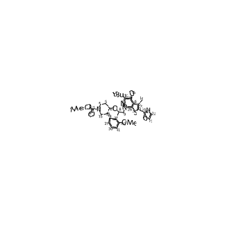 COC(=O)N1CCC(OC(Cn2nc(C(C)(C)C)c(=O)c3c(C)c(-c4ncco4)sc32)c2ccccc2OC)CC1